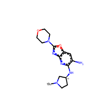 CC(C)(C)N1CC[C@H](Nc2nc3nc(N4CCOCC4)oc3cc2N)C1